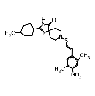 Cc1cc(/C=C/SN2CCC3(CC2)N=C(C2CCC(C)CC2)NC3=O)c(C)cc1N